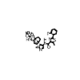 Cc1sc(-c2ccccc2F)nc1C(=O)Nc1cnn(C)c1[C@@]12CC[C@@H](NC(=O)OC(C)(C)C)[C@@H](CC1)O2